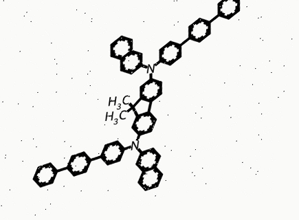 CC1(C)c2cc(N(c3ccc(-c4ccc(-c5ccccc5)cc4)cc3)c3ccc4ccccc4c3)ccc2-c2ccc(N(c3ccc(-c4ccc(-c5ccccc5)cc4)cc3)c3ccc4ccccc4c3)cc21